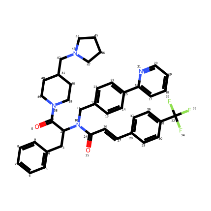 O=C(C(Cc1ccccc1)N(Cc1ccc(-c2ccccn2)cc1)C(=O)C=Cc1ccc(C(F)(F)F)cc1)N1CCC(CN2CCCC2)CC1